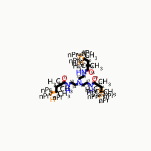 CCC[PH](CCC)(CCC)C(C)CC(C)(C)C(=O)NCCN(CCNC(=O)C(C)(C)CC(C)(C)[PH](CCC)(CCC)CCC)CCNC(=O)C(C)(C)CC(C)(C)[PH](CCC)(CCC)CCC